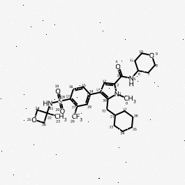 Cn1c(C(=O)NC2CCOCC2)cc(-c2ccc(S(=O)(=O)NC3(C)COC3)c(C(F)(F)F)c2)c1CC1CCCCC1